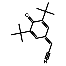 CC(C)(C)C1=CC(=CC#N)C=C(C(C)(C)C)C1=O